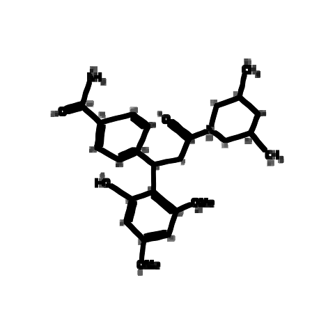 COc1cc(O)c(C(CC(=O)N2CC(C)CC(C)C2)c2ccc(C(N)=O)cc2)c(OC)c1